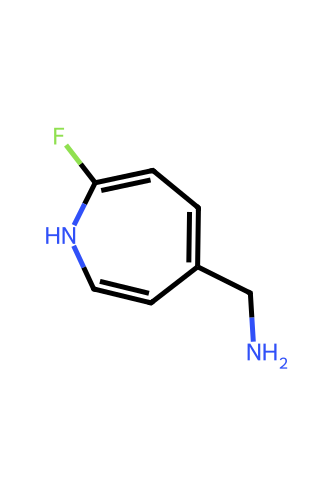 NCC1=CC=C(F)NC=C1